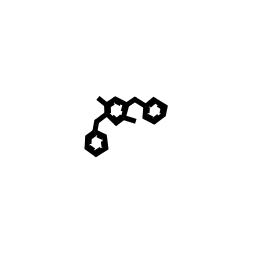 Cc1cc(Cc2ccccc2)c(C)cc1Cc1ccccc1